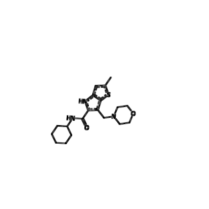 Cc1cc2[nH]c(C(=O)NC3CCCCC3)c(CN3CCOCC3)c2s1